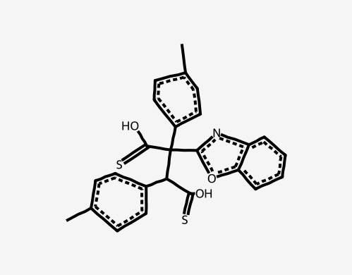 Cc1ccc(C(C(O)=S)C(C(O)=S)(c2ccc(C)cc2)c2nc3ccccc3o2)cc1